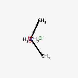 CCCCCCCCCCCCCCCCCCCCCC(=O)[N+](C)(C)C(=O)CCCCCCCCCCCCCCCCCCCCC.[Cl-]